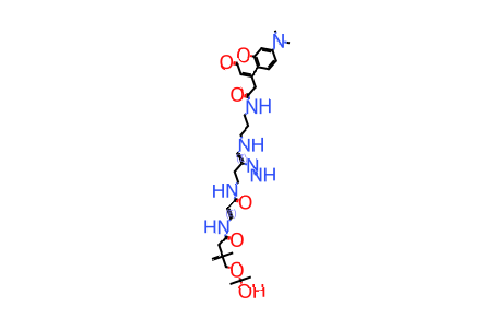 CN(C)c1ccc2c(CC(=O)NCCCN/C=C(/CCNC(=O)/C=C/NC(=O)CC(C)(C)COC(C)(C)O)N=N)cc(=O)oc2c1